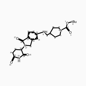 CC(C)(C)OC(=O)N1CCC(CNc2ccc3c(c2)CN(C2CCC(=O)NC2=O)C3=O)CC1